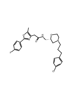 Cc1oc(-c2ccc(F)cc2)nc1CC(=O)NC[C@H]1CN(CCCc2ccc(Cl)cc2)CCO1